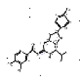 CC(C)CN/C(=N/C(=O)c1ccc(Cl)c(F)c1)NC1CC(c2ccc(F)cc2)NN1